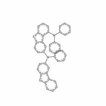 c1ccc(N(c2ccc3sc4ccccc4c3c2)c2ccc3sc4cccc(N(c5ccccc5)c5ccccc5)c4c3c2)cc1